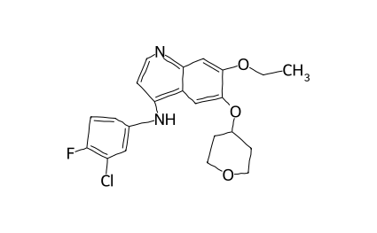 CCOc1cc2nccc(Nc3ccc(F)c(Cl)c3)c2cc1OC1CCOCC1